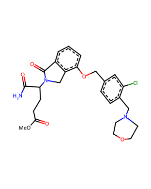 COC(=O)CCC(C(N)=O)N1Cc2c(OCc3ccc(CN4CCOCC4)c(Cl)c3)cccc2C1=O